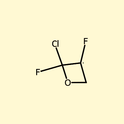 F[C]1COC1(F)Cl